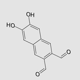 O=Cc1cc2cc(O)c(O)cc2cc1C=O